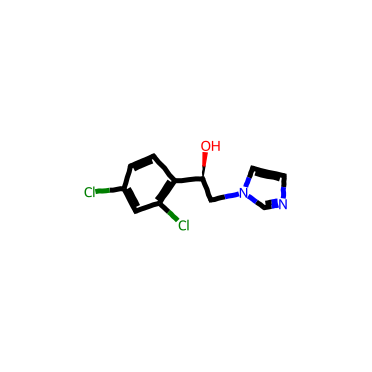 O[C@@H](Cn1ccnc1)c1ccc(Cl)cc1Cl